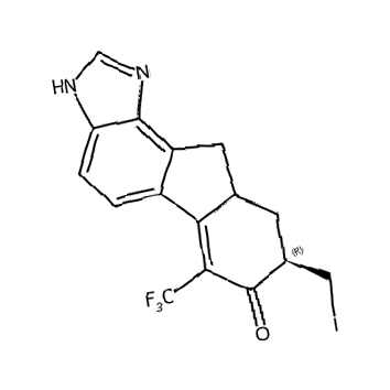 O=C1C(C(F)(F)F)=C2c3ccc4[nH]cnc4c3CC2C[C@H]1CI